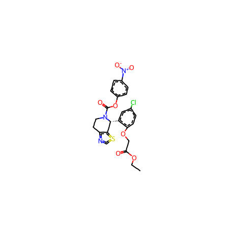 CCOC(=O)COc1ccc(Cl)cc1[C@@H]1c2scnc2CCN1C(=O)Oc1ccc([N+](=O)[O-])cc1